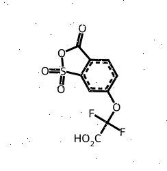 O=C1OS(=O)(=O)c2cc(OC(F)(F)C(=O)O)ccc21